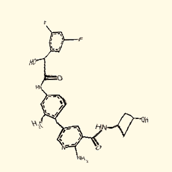 Cc1cc(NC(=O)C(O)c2cc(F)cc(F)c2)ccc1-c1cnc(N)c(C(=O)NC2CC(O)C2)c1